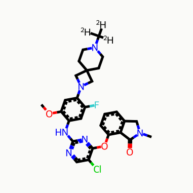 [2H]C([2H])([2H])N1CCC2(CC1)CN(c1cc(OC)c(Nc3ncc(Cl)c(Oc4cccc5c4C(=O)N(C)C5)n3)cc1F)C2